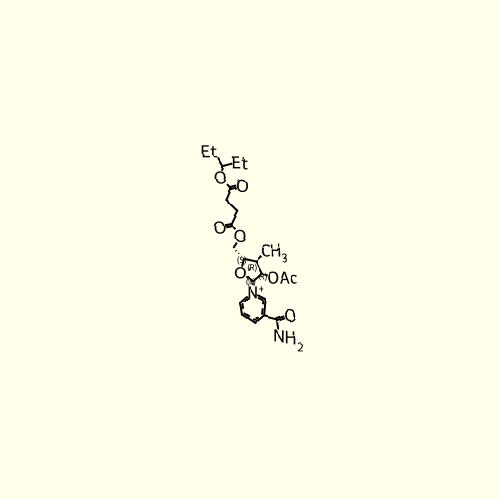 CCC(CC)OC(=O)CCC(=O)OC[C@H]1O[C@@H]([n+]2cccc(C(N)=O)c2)[C@H](OC(C)=O)[C@@H]1C